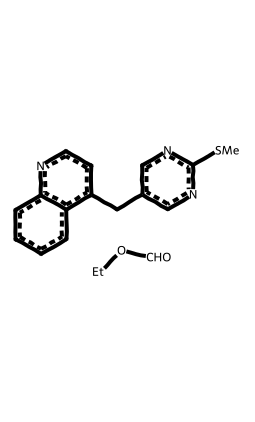 CCOC=O.CSc1ncc(Cc2ccnc3ccccc23)cn1